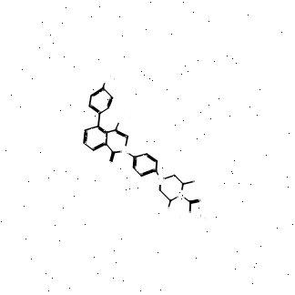 COC(=O)N1C(C)CN(c2ccc(-n3cc(C)c4c(-c5ccc(C#N)cc5)cccc4c3=O)cc2)CC1C